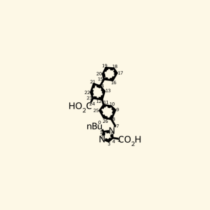 CCCCc1ncc(C(=O)O)n1Cc1ccc(-c2cc(-c3ccccc3)ccc2C(=O)O)cc1